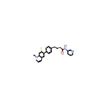 C=Nc1cc(F)c(-c2ccc(CCCC(=O)Nc3cccnc3)cc2)cc1/C=C\C